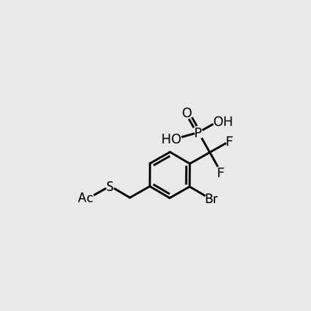 CC(=O)SCc1ccc(C(F)(F)P(=O)(O)O)c(Br)c1